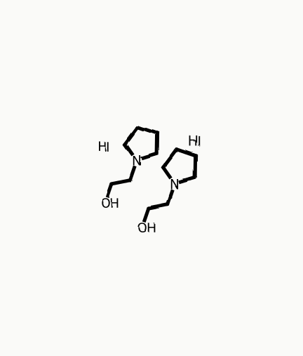 I.I.OCCN1CCCC1.OCCN1CCCC1